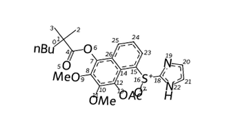 CCCCC(C)(C)C(=O)Oc1c(OC)c(OC)c(OC(C)=O)c2c([S+]([O-])c3ncc[nH]3)cccc12